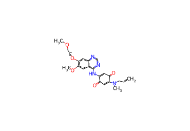 C=CCN(C)C1=CC(=O)C(Nc2ncnc3cc(OCCOC)c(OC)cc23)=CC1=O